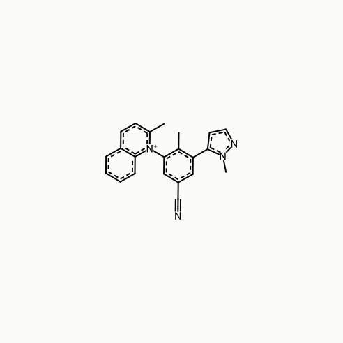 Cc1c(-c2ccnn2C)cc(C#N)cc1-[n+]1c(C)ccc2ccccc21